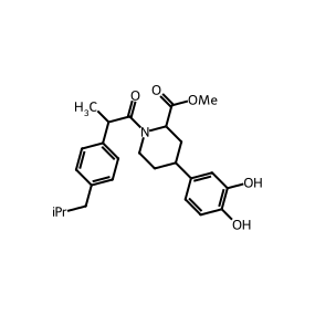 COC(=O)C1CC(c2ccc(O)c(O)c2)CCN1C(=O)C(C)c1ccc(CC(C)C)cc1